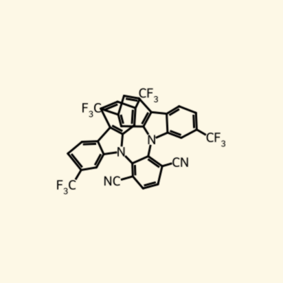 N#Cc1ccc(C#N)c(-n2c3cc(C(F)(F)F)ccc3c3ccc(C(F)(F)F)cc32)c1-n1c2cc(C(F)(F)F)ccc2c2ccc(C(F)(F)F)cc21